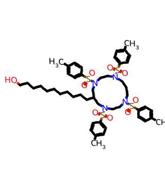 Cc1ccc(S(=O)(=O)N2CCCN(S(=O)(=O)c3ccc(C)cc3)CCN(S(=O)(=O)c3ccc(C)cc3)CC(CCCCCCCCCCCO)CN(S(=O)(=O)c3ccc(C)cc3)CC2)cc1